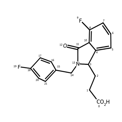 O=C(O)CCC1c2cccc(F)c2C(=O)N1Cc1ccc(F)cc1